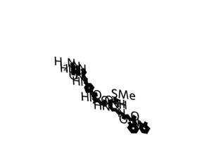 CSC[C@@H](C)NC(=O)C(CCCNC(=O)CCC(=O)N(Cc1ccccc1C)c1ccccc1C)NC(=O)CC[C@@H](C)NC(=O)c1ccc(NCc2cnc3nc(N)[nH]c(=O)c3n2)cc1